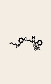 CCCCN(C)Cc1cccc(OCCCNC2=NS(=O)(=O)c3ccccc32)c1